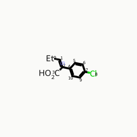 CC/C=C(\C(=O)O)c1ccc(Cl)cc1